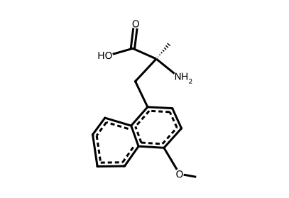 COc1ccc(C[C@](C)(N)C(=O)O)c2ccccc12